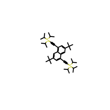 CC(C)S(C#Cc1cc(C(C)(C)C)cc2c(C#CS(C(C)C)(C(C)C)C(C)C)cc(C(C)(C)C)cc12)(C(C)C)C(C)C